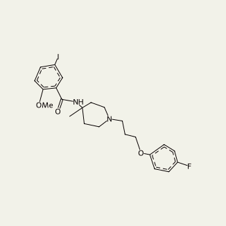 COc1ccc(I)cc1C(=O)NC1(C)CCN(CCCOc2ccc(F)cc2)CC1